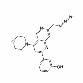 [N-]=[N+]=NCc1cc2nc(-c3cccc(O)c3)cc(N3CCOCC3)c2cn1